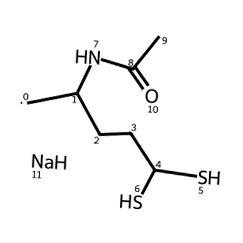 [CH2]C(CCC(S)S)NC(C)=O.[NaH]